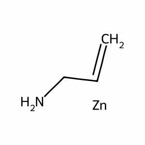 C=CCN.[Zn]